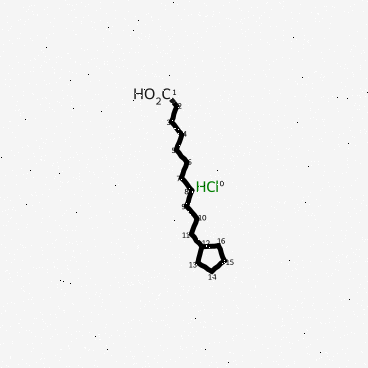 Cl.O=C(O)CCCCCCCCCCC1CCCC1